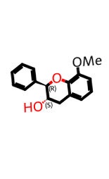 COc1cccc2c1O[C@H](c1ccccc1)[C@@H](O)C2